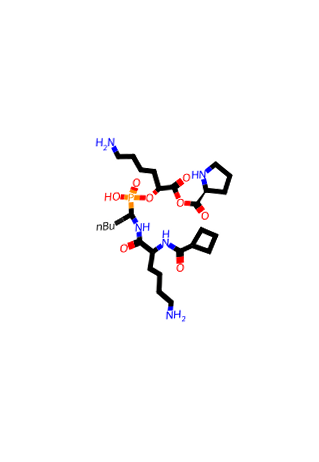 CCCCC(NC(=O)C(CCCCN)NC(=O)C1CCC1)P(=O)(O)OC(CCCCN)C(=O)OC(=O)[C@@H]1CCCN1